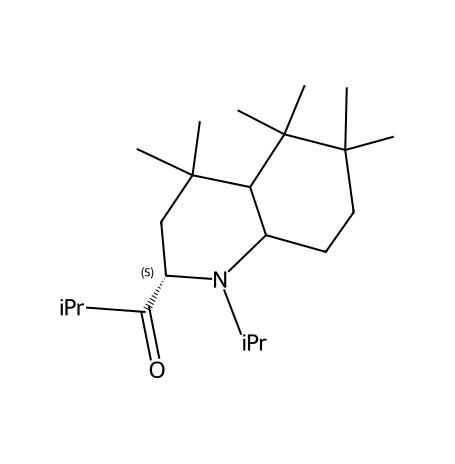 CC(C)C(=O)[C@@H]1CC(C)(C)C2C(CCC(C)(C)C2(C)C)N1C(C)C